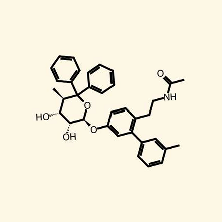 CC(=O)NCCc1ccc(O[C@@H]2OC(c3ccccc3)(c3ccccc3)[C@H](C)[C@@H](O)[C@H]2O)cc1-c1cccc(C)c1